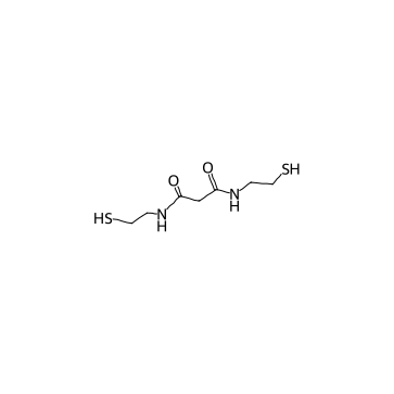 O=C(CC(=O)NCCS)NCCS